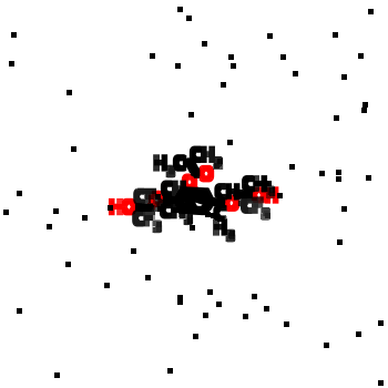 C=C(C)C(=O)OC12CC3CC(C(C)(C)OCC(C)(O)C(F)(F)F)(C1)CC(C(C)(C)OCC(O)(C(F)(F)F)C(F)(F)F)(C3)C2